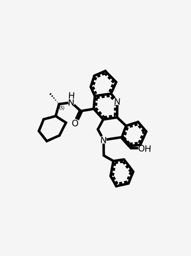 C[C@H](NC(=O)c1c(CN(CCO)Cc2ccccc2)c(-c2ccccc2)nc2ccccc12)C1CCCCC1